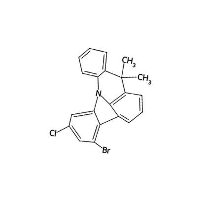 CC1(C)c2ccccc2-n2c3cc(Cl)cc(Br)c3c3cccc1c32